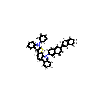 c1ccc(-n2c3ccccc3c3c4ccc5c6ccccc6n(-c6ccc7cc(-c8ccc9ccccc9c8)ccc7c6)c5c4sc32)cc1